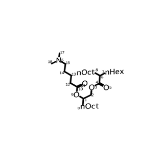 CCCCCCCCC(COC(=O)C(CCCCCC)CCCCCCCC)OC(=O)CCCCN(C)C